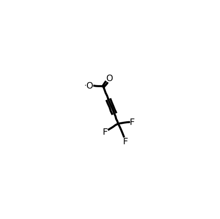 [O]C(=O)C#CC(F)(F)F